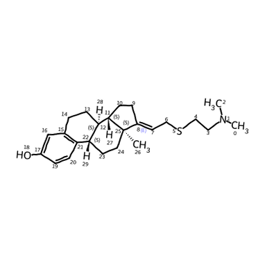 CN(C)CCSC/C=C1\CC[C@H]2[C@@H]3CCc4cc(O)ccc4[C@H]3CC[C@]12C